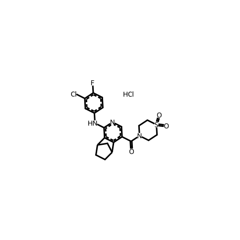 Cl.O=C(c1cnc(Nc2ccc(F)c(Cl)c2)c2c1C1CCC2C1)N1CCS(=O)(=O)CC1